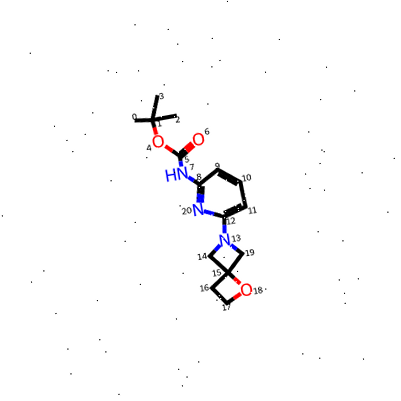 CC(C)(C)OC(=O)Nc1cccc(N2CC3(CCO3)C2)n1